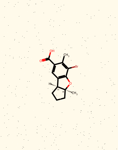 Cc1c(C(=O)O)cc2c(c1Br)O[C@@]1(C)CCC[C@@H]21